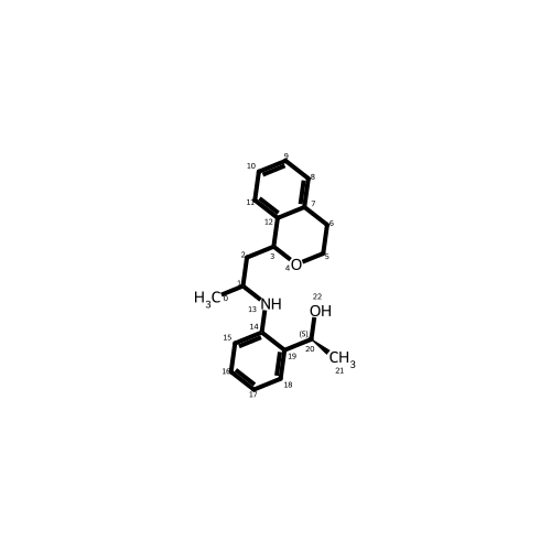 CC(CC1OCCc2ccccc21)Nc1ccccc1[C@H](C)O